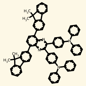 CC1(C)c2ccccc2-c2ccc(-c3ccc(-c4ccc5c(c4)C(C)(C)c4ccccc4-5)c4nc(-c5ccc(N(c6ccccc6)c6ccccc6)cc5)c(-c5ccc(N(c6ccccc6)c6ccccc6)cc5)nc34)cc21